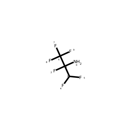 NC(F)(C(F)F)C(F)(F)F